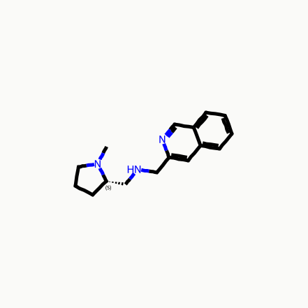 CN1CCC[C@H]1CNCc1cc2ccccc2cn1